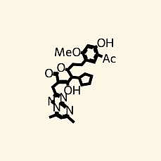 COc1cc(O)c(C(C)=O)cc1CCC1OC(=O)C(Cc2nc3nc(C)cc(C)n3n2)=C(O)C1C1CCCC1